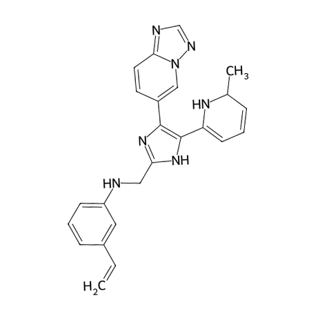 C=Cc1cccc(NCc2nc(-c3ccc4ncnn4c3)c(C3=CC=CC(C)N3)[nH]2)c1